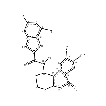 Cc1cc(F)cc2[nH]c(C(=O)N(C)[C@@H]3CCCc4[nH]c(=O)c5cc(F)c(F)cc5c43)cc12